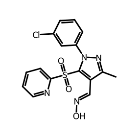 Cc1nn(-c2cccc(Cl)c2)c(S(=O)(=O)c2ccccn2)c1C=NO